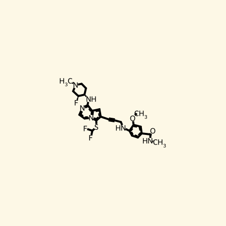 CNC(=O)c1ccc(NCC#Cc2cc3c(N[C@@H]4CCN(C)C[C@@H]4F)nccn3c2SC(F)F)c(OC)c1